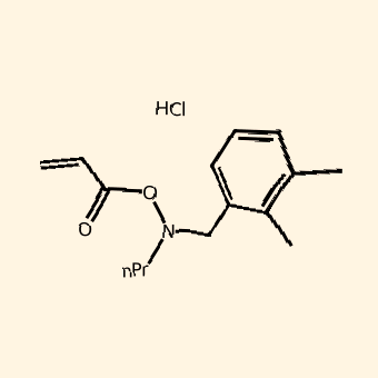 C=CC(=O)ON(CCC)Cc1cccc(C)c1C.Cl